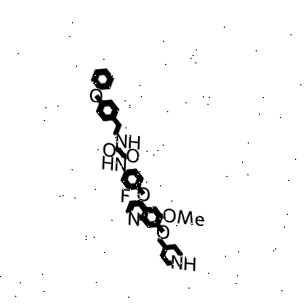 COc1cc2c(Oc3ccc(NC(=O)C(=O)NCCc4ccc(Oc5ccccc5)cc4)cc3F)ccnc2cc1OCC1CCNCC1